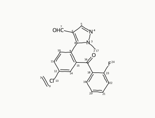 C=C.Cn1ncc(C=O)c1-c1ccc(Cl)cc1C(=O)c1ccccc1F